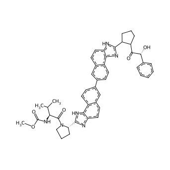 COC(=O)N[C@H](C(=O)N1CCC[C@H]1c1nc2ccc3cc(-c4ccc5c(ccc6[nH]c(C7CCCC7C(=O)[C@H](O)c7ccccc7)nc65)c4)ccc3c2[nH]1)C(C)C